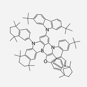 CC(C)(C)c1ccc(N2c3cc(-n4c5cc(C(C)(C)C)ccc5c5ccc(C(C)(C)C)cc54)cc4c3B(c3cc5c(cc3N4c3ccc4c(c3)C(C)(C)CCC4(C)C)C(C)(C)CCC5(C)C)c3oc4cc5c(cc4c32)C2(C)CCC5(C)C2)c(-c2ccccc2)c1